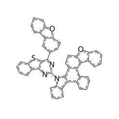 c1ccc2c(c1)oc1ccc(-c3nc(-n4c5ccccc5c5c6ccccc6c6c(ccc7oc8ccccc8c76)c54)nc4c3sc3ccccc34)cc12